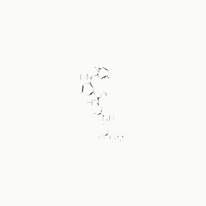 COC(=O)CCNC(=O)CNC(=O)c1cccc(Nc2cc(C)ccn2)c1